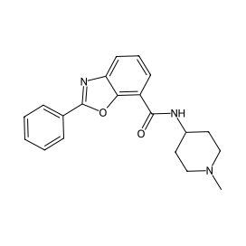 CN1CCC(NC(=O)c2cccc3nc(-c4ccccc4)oc23)CC1